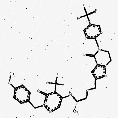 COc1ccc(Cn2ncc(N[C@@H](C)COCc3cc4n(n3)CCN(c3ncc(C(F)(F)F)cn3)C4=O)c(C(F)(F)F)c2=O)cc1